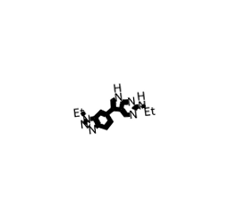 CCNc1ncc2c(-c3ccc4nnn(CC)c4c3)c[nH]c2n1